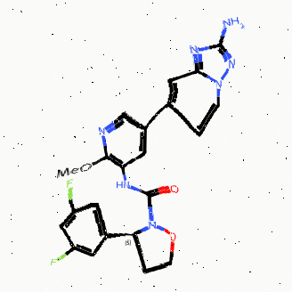 COc1ncc(-c2ccn3nc(N)nc3c2)cc1NC(=O)N1OCC[C@H]1c1cc(F)cc(F)c1